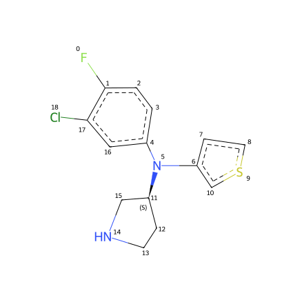 Fc1ccc(N(c2ccsc2)[C@H]2CCNC2)cc1Cl